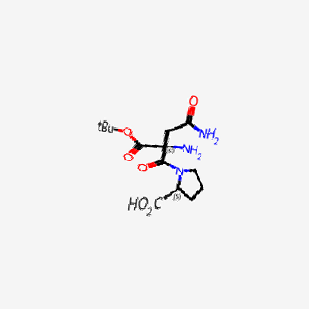 CC(C)(C)OC(=O)[C@](N)(CC(N)=O)C(=O)N1CCC[C@H]1C(=O)O